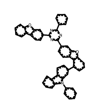 c1ccc(-c2nc(-c3ccc4c(c3)oc3ccccc34)nc(-c3ccc4c(c3)oc3cccc(-c5ccc6c7ccccc7n(-c7ccccc7)c6c5)c34)n2)cc1